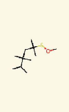 COSC(C)(C)CC(C)(C)C(C)C